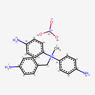 C[N+](Cc1ccc(N)cc1)(c1ccc(N)cc1)c1ccc(N)cc1.[O-][I+2]([O-])[O-]